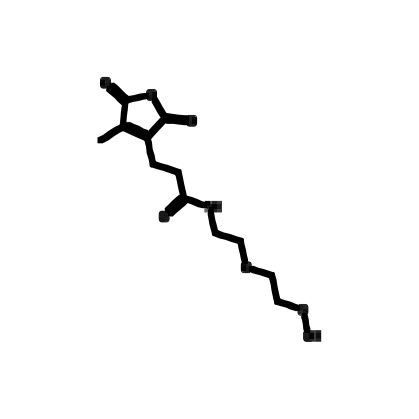 CC1=C(CCC(=O)NCCOCCOO)C(=O)OC1=O